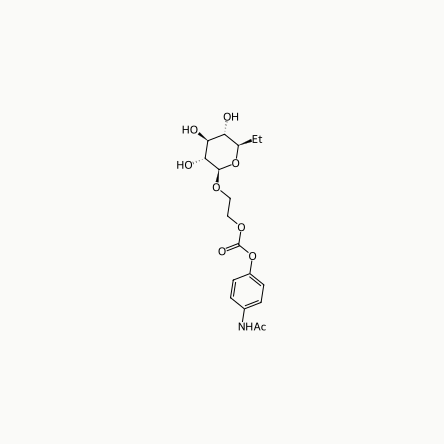 CC[C@H]1O[C@@H](OCCOC(=O)Oc2ccc(NC(C)=O)cc2)[C@H](O)[C@@H](O)[C@@H]1O